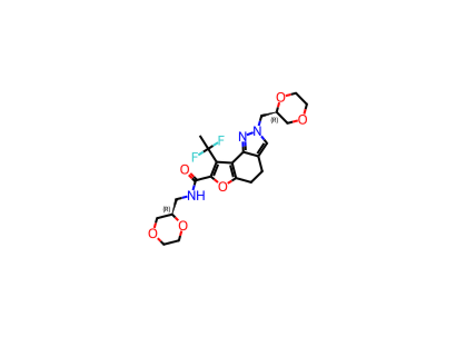 CC(F)(F)c1c(C(=O)NC[C@@H]2COCCO2)oc2c1-c1nn(C[C@@H]3COCCO3)cc1CC2